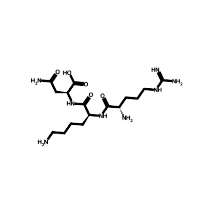 N=C(N)NCCC[C@H](N)C(=O)N[C@@H](CCCCN)C(=O)N[C@@H](CC(N)=O)C(=O)O